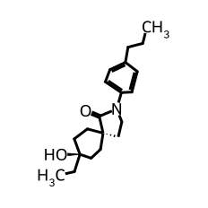 CCCc1ccc(N2CC[C@]3(CC[C@@](O)(CC)CC3)C2=O)cc1